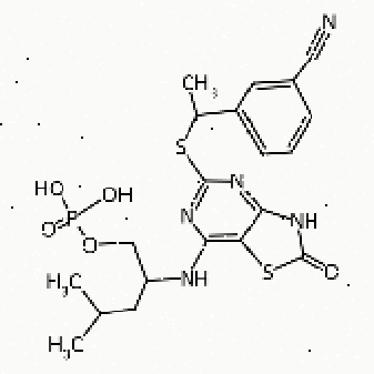 CC(C)CC(COP(=O)(O)O)Nc1nc(SC(C)c2cccc(C#N)c2)nc2[nH]c(=O)sc12